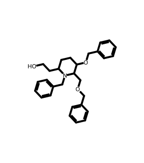 OCCC1CCC(OCc2ccccc2)C(COCc2ccccc2)N1Cc1ccccc1